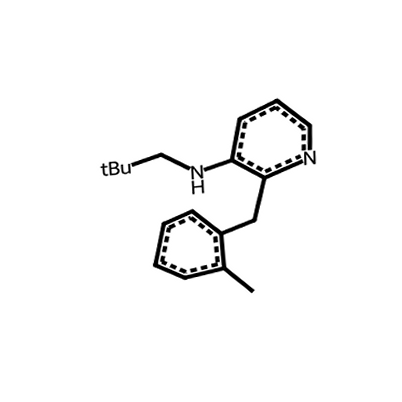 Cc1ccccc1Cc1ncccc1NCC(C)(C)C